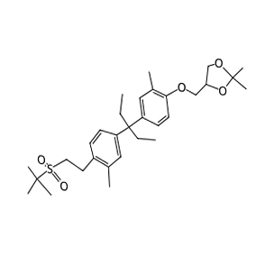 CCC(CC)(c1ccc(CCS(=O)(=O)C(C)(C)C)c(C)c1)c1ccc(OCC2COC(C)(C)O2)c(C)c1